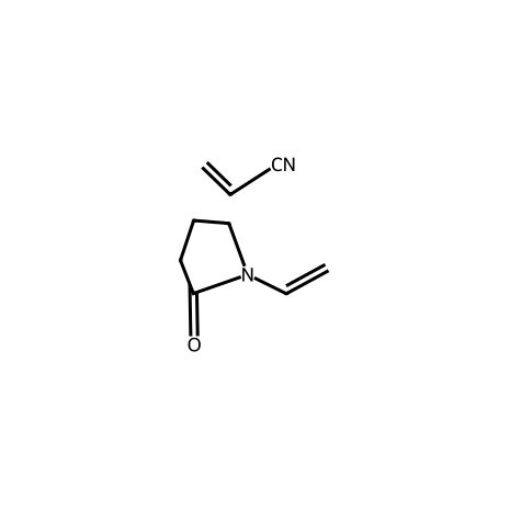 C=CC#N.C=CN1CCCC1=O